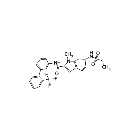 CCS(=O)(=O)Nc1ccc2cc(C(=O)Nc3cccc(-c4ccccc4C(F)(F)F)c3)n(C)c2c1